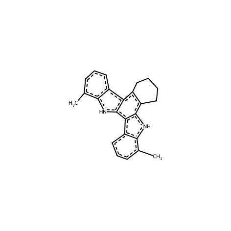 Cc1cccc2c1[nH]c1c2c2c(c3[nH]c4c(C)cccc4c31)CCCC2